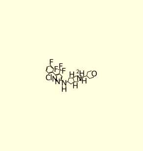 [2H]C([2H])(C1CCOCC1)N1C[C@H]2CC(Nc3cc(C(F)(F)F)c(-c4cc(F)ccc4Cl)nn3)C[C@H]2C1